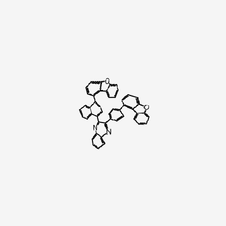 c1ccc2nc(-c3ccc(-c4cccc5oc6ccccc6c45)c4ccccc34)c(-c3ccc(-c4cccc5oc6ccccc6c45)cc3)nc2c1